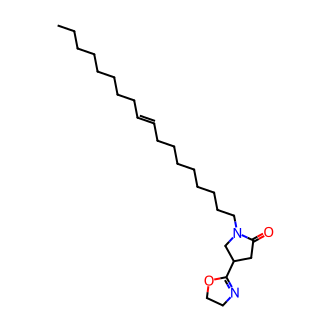 CCCCCCCCC=CCCCCCCCCN1CC(C2=NCCO2)CC1=O